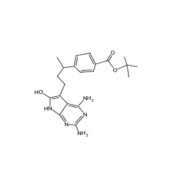 CC(CCc1c(O)[nH]c2nc(N)nc(N)c12)c1ccc(C(=O)OC(C)(C)C)cc1